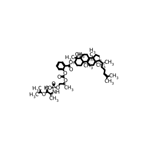 CC(C)=CCC[C@@H](C)[C@H]1CC[C@@]2(C)C3=C(CC[C@]12C)[C@@]1(C)CC[C@H](OC(=O)c2ccccc2OC(=O)O[C@@H](C)COP(=O)(O)N[C@@H](C)C(=O)OC(C)C)C(C)(C)[C@@H]1CC3